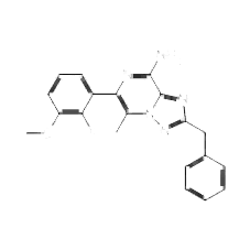 COc1cccc(-c2nc(N)c3nc(Cc4ccccc4)nn3c2C)c1F